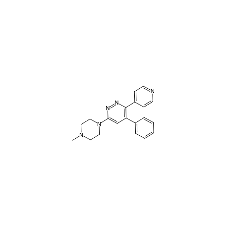 CN1CCN(c2cc(-c3ccccc3)c(-c3ccncc3)nn2)CC1